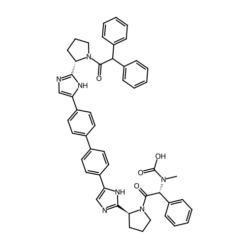 CN(C(=O)O)[C@@H](C(=O)N1CCC[C@H]1c1ncc(-c2ccc(-c3ccc(-c4cnc([C@@H]5CCCN5C(=O)C(c5ccccc5)c5ccccc5)[nH]4)cc3)cc2)[nH]1)c1ccccc1